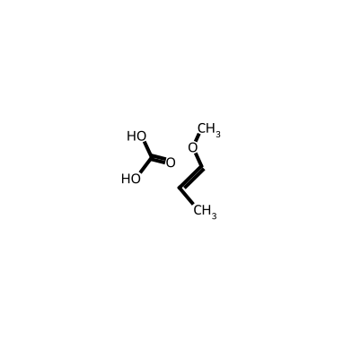 CC=COC.O=C(O)O